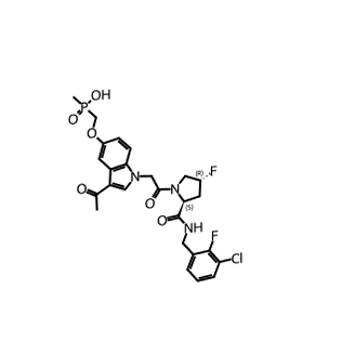 CC(=O)c1cn(CC(=O)N2C[C@H](F)C[C@H]2C(=O)NCc2cccc(Cl)c2F)c2ccc(OCP(C)(=O)O)cc12